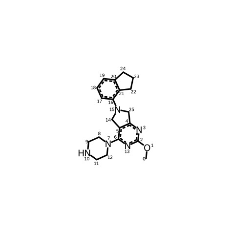 COc1nc2c(c(N3CCNCC3)n1)CN(c1cccc3c1CCC3)C2